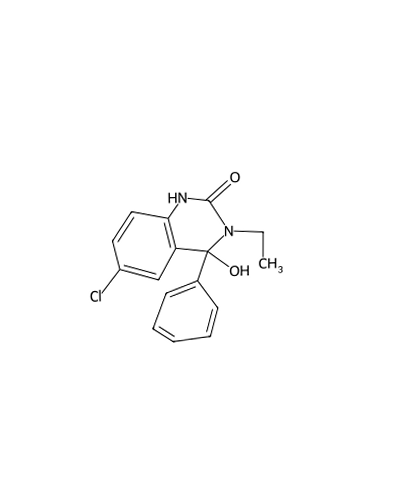 CCN1C(=O)Nc2ccc(Cl)cc2C1(O)c1ccccc1